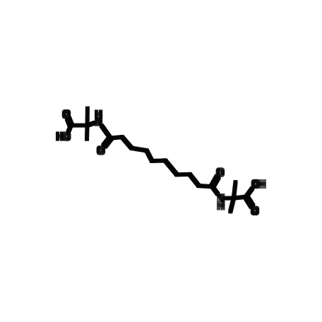 CC(C)(NC(=O)CCCCCCCCC(=O)NC(C)(C)C(=O)O)C(=O)O